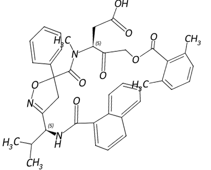 Cc1cccc(C)c1C(=O)OCC(=O)[C@H](CC(=O)O)N(C)C(=O)C1(c2ccccc2)CC([C@@H](NC(=O)c2cccc3ccccc23)C(C)C)=NO1